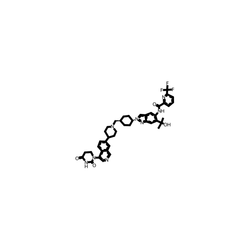 CC(C)(O)c1cc2nn([C@H]3CC[C@H](CN4CCC(c5ccc6c(N7CCC(=O)NC7=O)cncc6c5)CC4)CC3)cc2cc1NC(=O)c1cccc(C(F)(F)F)n1